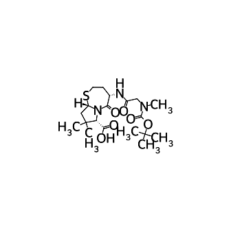 CN(CC(=O)N[C@H]1CCS[C@H]2CC(C)(C)[C@@H](C(=O)O)N2C1=O)C(=O)OC(C)(C)C